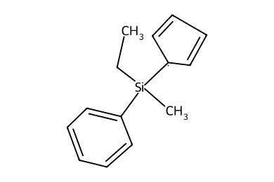 CC[Si](C)([C]1C=CC=C1)c1ccccc1